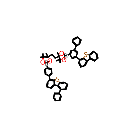 CC1(C)OB(c2ccc(-c3cccc4c3sc3cccc(-c5ccccc5)c34)cc2)OC1(C)CCC1(C)OB(c2cc(-c3ccccc3)cc(-c3cccc4c3sc3ccccc34)c2)OC1(C)C